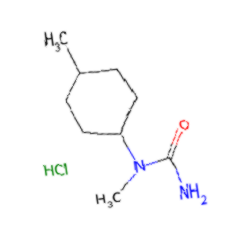 CC1CCC(N(C)C(N)=O)CC1.Cl